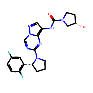 O=C(Nc1cnn2cnc(N3CCC[C@@H]3c3cc(F)ccc3F)nc12)N1CC[C@H](O)C1